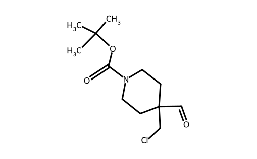 CC(C)(C)OC(=O)N1CCC(C=O)(CCl)CC1